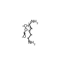 COC=O.NCCCCCN